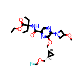 CCOC(=O)C(CC)(CC)NC(=O)c1cnc(N2CC(OC)C2)c(OC[C@@H]2C[C@@H]2COCF)n1